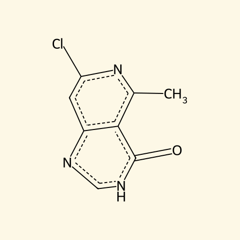 Cc1nc(Cl)cc2nc[nH]c(=O)c12